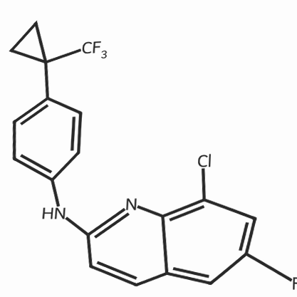 Fc1cc(Cl)c2nc(Nc3ccc(C4(C(F)(F)F)CC4)cc3)ccc2c1